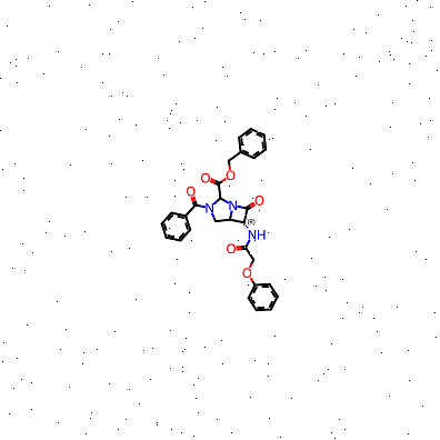 O=C(COc1ccccc1)N[C@H]1C(=O)N2C1CN(C(=O)c1ccccc1)C2C(=O)OCc1ccccc1